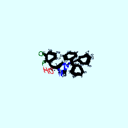 OC(c1cn(C(c2ccccc2)(c2ccccc2)c2ccccc2)cn1)c1cccc(Cl)c1F